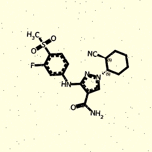 CS(=O)(=O)c1ccc(Nc2nn([C@H]3CCCC[C@@H]3C#N)cc2C(N)=O)cc1F